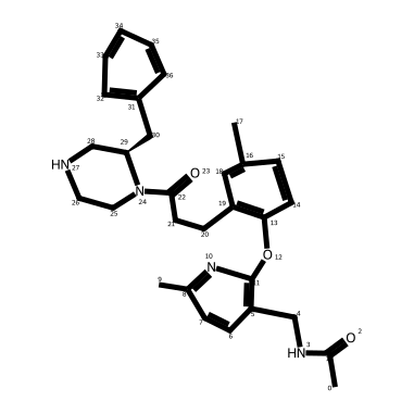 CC(=O)NCc1ccc(C)nc1Oc1ccc(C)cc1CCC(=O)N1CCNC[C@H]1Cc1ccccc1